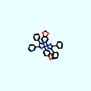 c1ccc(C2=NC(c3ccc4c(c3)OCO4)(C3(c4ccc5c(c4)OCO5)N=C(c4ccccc4)C(c4ccccc4)=N3)N=C2c2ccccc2)cc1